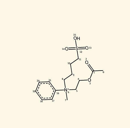 CC(=O)OCC[N+](C)(CCCCS(=O)(=O)O)c1ccccc1